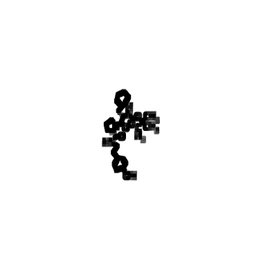 CC(C)(C)OC(=O)N[C@@H](Cc1ccccc1)C(=O)N1CCC[C@H]1C(=O)NCCc1ccc(O)cc1